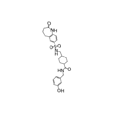 O=C1CCCc2cc(S(=O)(=O)NCC3CCC(C(=O)NCc4cccc(O)c4)CC3)ccc2N1